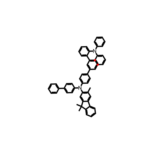 Cc1cc2c(cc1N(c1ccc(-c3ccccc3)cc1)c1ccc(-c3cccc(-c4ccccc4N(c4ccccc4)c4ccccc4)c3)cc1)C(C)(C)c1ccccc1-2